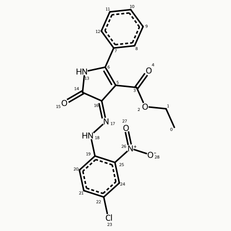 CCOC(=O)C1=C(c2ccccc2)NC(=O)/C1=N\Nc1ccc(Cl)cc1[N+](=O)[O-]